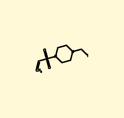 C=CS(=O)(=O)N1CCN(CI)CC1